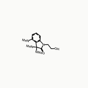 CNc1cccc2c1C(NC)(NC)C(=O)N2CCO